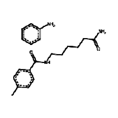 Cc1ccc(C(=O)NCCCCCC(N)=O)cc1.Nc1ccccc1